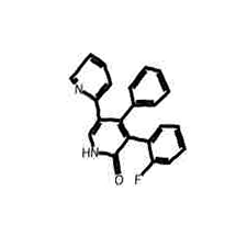 O=c1[nH]cc(-c2ccccn2)c(-c2ccccc2)c1-c1ccccc1F